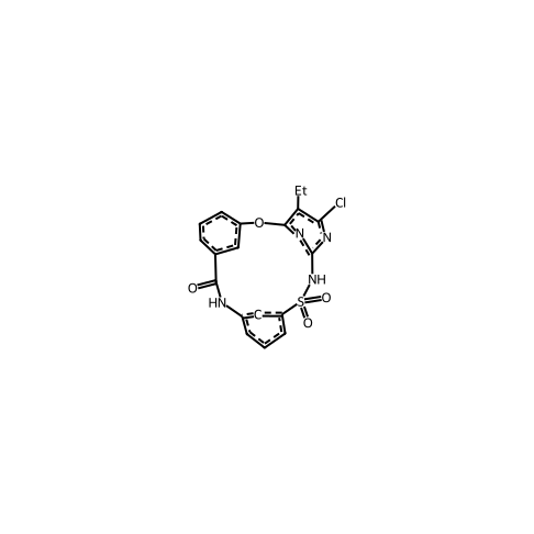 CCc1c(Cl)nc2nc1Oc1cccc(c1)C(=O)Nc1cccc(c1)S(=O)(=O)N2